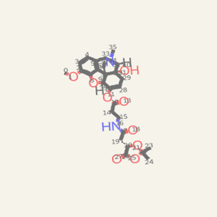 COc1ccc2c3c1O[C@H]1C(OC(=O)CCNC(=O)C[C@@H]4OC(C)(C)OC4=O)=CC[C@@]4(O)[C@@H](C2)N(C)CC[C@]314